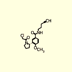 C#CCCCNC(=O)c1ccc(OC)c([C@@H]2CCCN2C(=O)CCl)c1